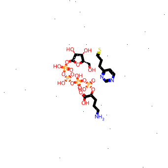 NCCCC(OP(=O)(O)OP(=O)(O)OP(=O)(O)OP(=O)(O)OC1O[C@H](CO)[C@@H](O)[C@H]1O)C(=O)O.S=CCCc1ccncn1